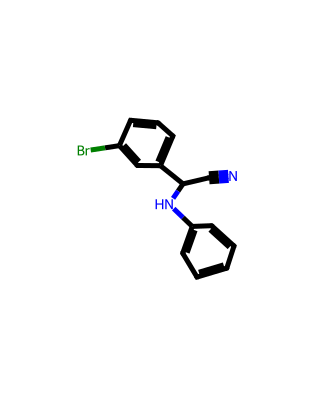 N#CC(Nc1ccccc1)c1cccc(Br)c1